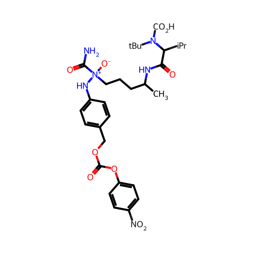 CC(CCC[N+]([O-])(Nc1ccc(COC(=O)Oc2ccc([N+](=O)[O-])cc2)cc1)C(N)=O)NC(=O)C(C(C)C)N(C(=O)O)C(C)(C)C